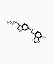 O=C(O)CC1COc2cc(OCc3ccc(Br)c4c3OCO4)ccc21